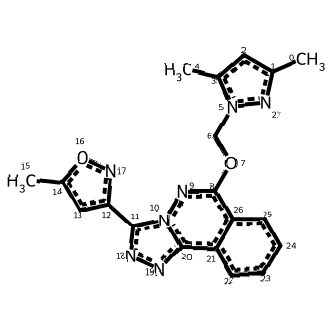 Cc1cc(C)n(COc2nn3c(-c4cc(C)on4)nnc3c3ccccc23)n1